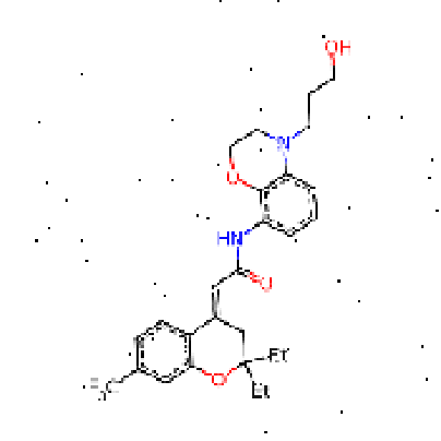 CCC1(CC)C/C(=C\C(=O)Nc2cccc3c2OCCN3CCCO)c2ccc(C(F)(F)F)cc2O1